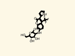 O=c1oc2cc(NC3C(O)OC(CO)[C@@H](O)[C@@H]3O)ccc2c(C(F)(F)F)c1-c1ccc[nH]1